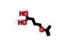 C=C(C)OCCCC(O)O